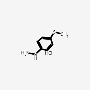 CSc1ccc(NN)cc1.Cl